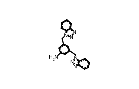 Nc1cc(Cn2nnc3ccccc32)cc(Cn2nnc3ccccc32)c1